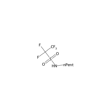 CCCCCNS(=O)(=O)C(F)(F)C(F)(F)F